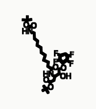 CC(C)(C)OC(=O)CC(NC(=O)CCCCCCCCCCNC(=O)OC(C)(C)C)C(O)COc1c(F)c(F)cc(F)c1F